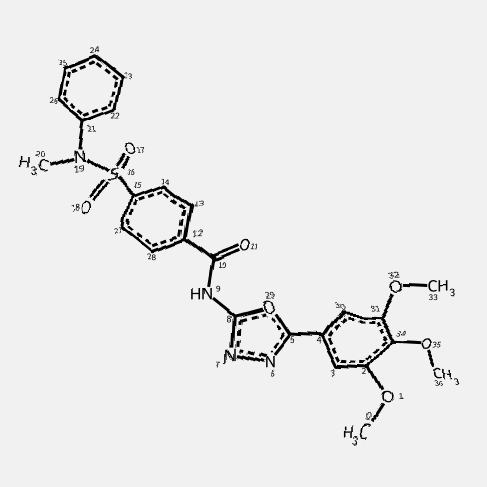 COc1cc(-c2nnc(NC(=O)c3ccc(S(=O)(=O)N(C)c4ccccc4)cc3)o2)cc(OC)c1OC